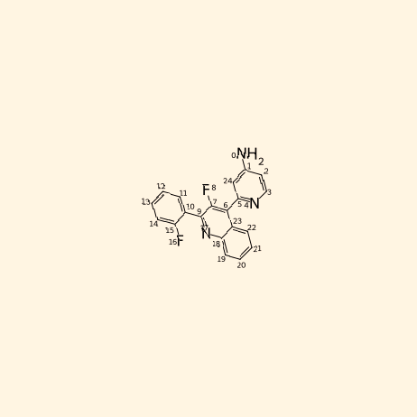 Nc1ccnc(-c2c(F)c(-c3ccccc3F)nc3ccccc23)c1